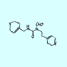 O=[C]N(CCc1ccncc1)C(=O)NCc1ccncc1